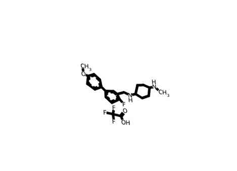 CNC1CCC(NCc2cc(-c3ccc(OC)cc3)ccc2F)CC1.O=C(O)C(F)(F)F